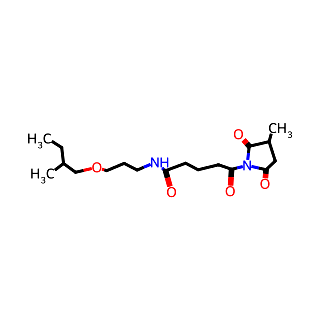 CCC(C)COCCCNC(=O)CCCC(=O)N1C(=O)CC(C)C1=O